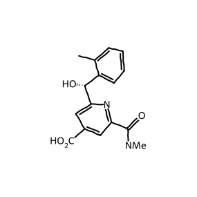 CNC(=O)c1cc(C(=O)O)cc([C@H](O)c2ccccc2C)n1